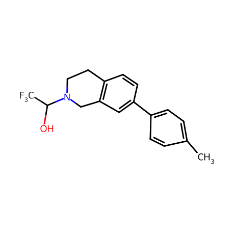 Cc1ccc(-c2ccc3c(c2)CN(C(O)C(F)(F)F)CC3)cc1